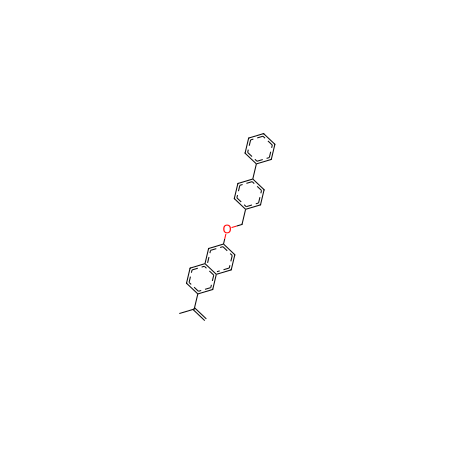 C=C(C)c1ccc2cc(OCc3ccc(-c4ccccc4)cc3)ccc2c1